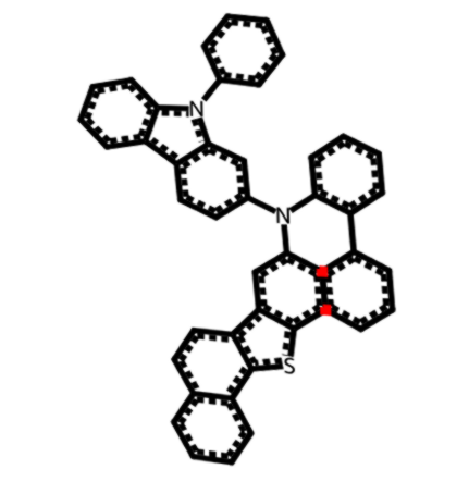 c1ccc(-c2ccccc2N(c2ccc3sc4c5ccccc5ccc4c3c2)c2ccc3c4ccccc4n(-c4ccccc4)c3c2)cc1